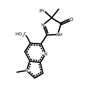 CC(C)C1(C)N=C(c2nc3ccn(C)c3cc2C(=O)O)NC1=O